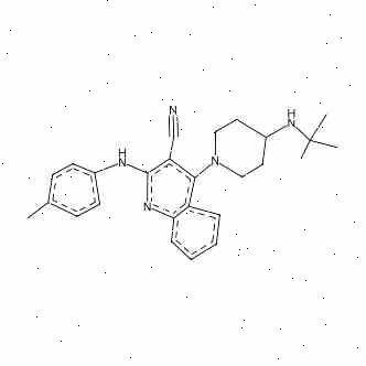 Cc1ccc(Nc2nc3ccccc3c(N3CCC(NC(C)(C)C)CC3)c2C#N)cc1